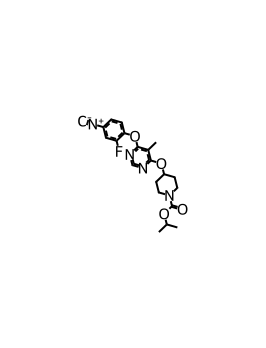 [C-]#[N+]c1ccc(Oc2ncnc(OC3CCN(C(=O)OC(C)C)CC3)c2C)c(F)c1